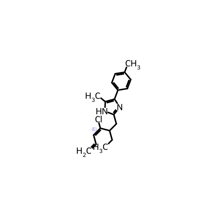 C=C/C=C(/Cl)C(CC)Cc1nc(-c2ccc(C)cc2)c(C)[nH]1